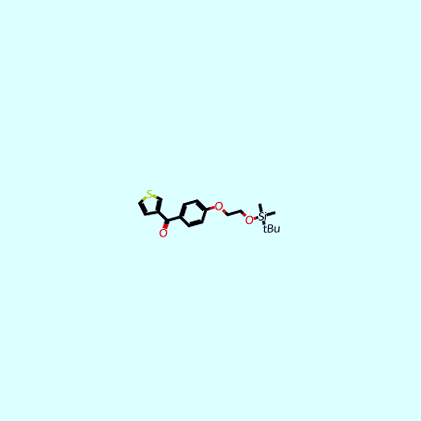 CC(C)(C)[Si](C)(C)OCCOc1ccc(C(=O)c2ccsc2)cc1